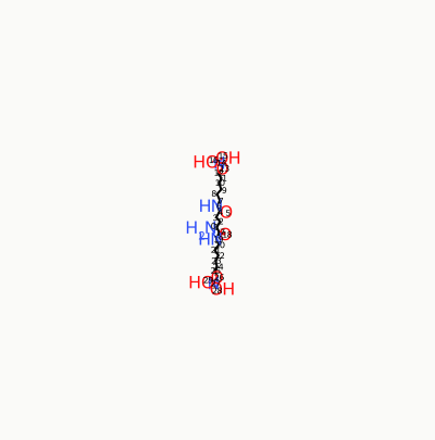 NC(CCC(=O)NCCCCCCON(O)O)C(=O)NCCCCCCON(O)O